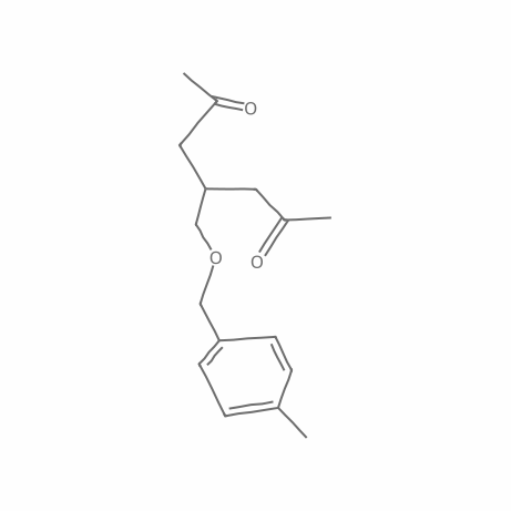 CC(=O)CC(COCc1ccc(C)cc1)CC(C)=O